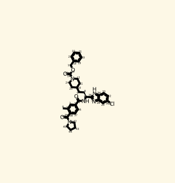 Cc1cc(C(=O)N[C@@H](CCC2CCN(C(=O)OCc3ccccc3)CC2)c2nc3cc(Cl)ccc3[nH]2)ccc1C(=O)N1CCCC1